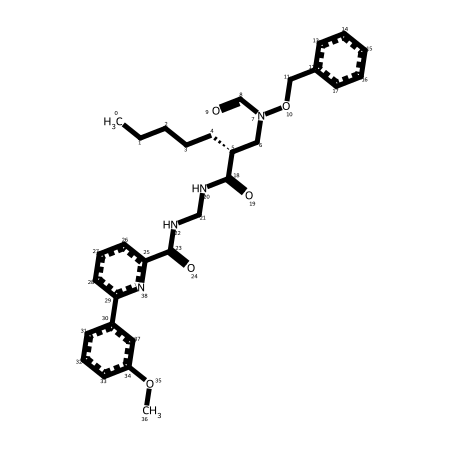 CCCCC[C@H](CN(C=O)OCc1ccccc1)C(=O)NCNC(=O)c1cccc(-c2cccc(OC)c2)n1